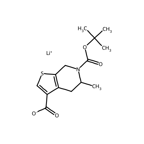 CC1Cc2c(C(=O)[O-])csc2CN1C(=O)OC(C)(C)C.[Li+]